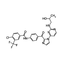 CC(O)CNc1nccc(-n2ccnc2C(=O)c2ccc(NC(=O)c3ccc(Cl)c(C(F)(F)F)c3)cc2)n1